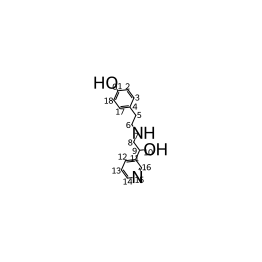 Oc1ccc(CCNCC(O)c2cccnc2)cc1